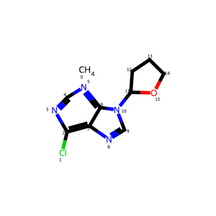 C.Clc1ncnc2c1ncn2C1CCCO1